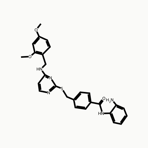 COc1ccc(CNc2ccnc(SCc3ccc(C(=O)Nc4ccccc4N)cc3)n2)c(OC)c1